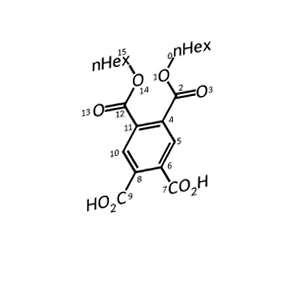 CCCCCCOC(=O)c1cc(C(=O)O)c(C(=O)O)cc1C(=O)OCCCCCC